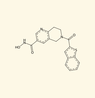 O=C(NO)c1cnc2c(c1)CN(C(=O)c1cc3ccccc3s1)CC2